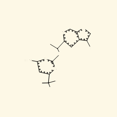 CC(Sc1nc(N)cc(C(F)(F)F)n1)c1cc2c(F)coc2cn1